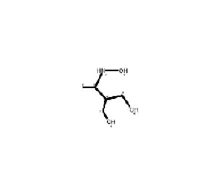 CC(NO)C(CO)CO